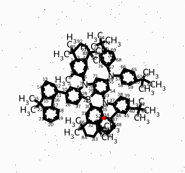 Cc1cc2c(cc1N1c3cc(-c4cccc5c4-c4ccccc4C5(C)C)ccc3B3c4cc5c(cc4N(c4ccc(C(C)(C)C)cc4-c4ccccc4)c4cc(N(c6ccc(C(C)(C)C)cc6)c6ccc(C(C)(C)C)cc6)cc1c43)C(C)(C)CCC5(C)C)C(C)(C)CCC2(C)C